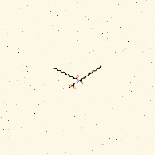 CCCCCCCCCCCC(=O)N(CCC(=O)OC)C(=O)CCCCCCCCCCC